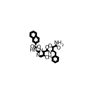 NC(=O)C(=O)C(Cc1ccccc1)NC(=O)c1nc(NS(=O)(=O)c2ccc3ccccc3c2)ncc1Cl